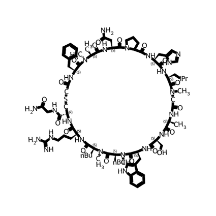 CCCC[C@H]1C(=O)N(C)[C@@H](CCCC)C(=O)N[C@@H](CCCNC(=N)N)C(=O)N[C@H](C(=O)NCC(N)=O)CSCC(=O)N[C@@H](Cc2ccccc2)C(=O)N(C)[C@@H](C)C(=O)N[C@@H](CC(N)=O)C(=O)N2CCCC2C(=O)N[C@@H](Cc2cnc[nH]2)C(=O)N[C@@H](CC(C)C)C(=O)N(C)CC(=O)N[C@@H](C)C(=O)N[C@@H](CO)C(=O)N[C@@H](Cc2c[nH]c3ccccc23)C(=O)N1C